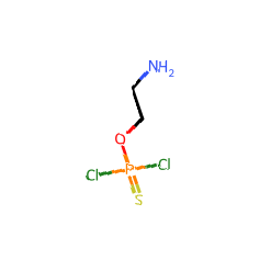 NCCOP(=S)(Cl)Cl